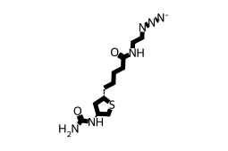 [N-]=[N+]=NCCNC(=O)CCCC[C@H]1C[C@@H](NC(N)=O)CS1